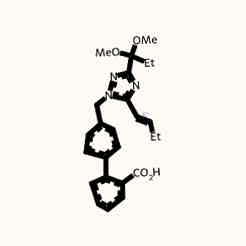 CC/C=C/c1nc(C(CC)(OC)OC)nn1Cc1ccc(-c2ccccc2C(=O)O)cc1